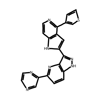 c1cnc(-c2ccc3[nH]nc(-c4cc5c(-c6ccsc6)nccc5[nH]4)c3n2)cn1